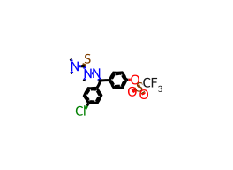 CN(C)C(=S)N(C)N=C(c1ccc(Cl)cc1)c1ccc(OS(=O)(=O)C(F)(F)F)cc1